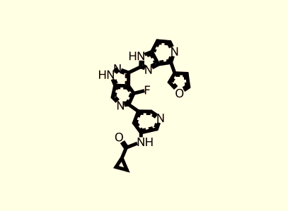 O=C(Nc1cncc(-c2ncc3[nH]nc(-c4nc5c(-c6ccoc6)nccc5[nH]4)c3c2F)c1)C1CC1